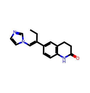 CC/C(=C\n1ccnc1)c1ccc2c(c1)CCC(=O)N2